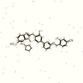 CC(=O)N1CCC[C@H]1Cn1c(Cc2ccc(-c3cccc(OCc4ccc(C#N)cc4F)n3)cc2F)nc2ccc(C(=O)O)cc21